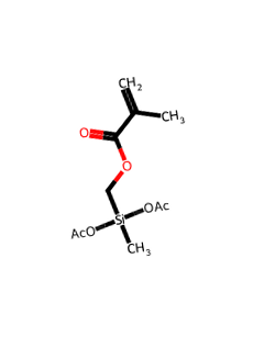 C=C(C)C(=O)OC[Si](C)(OC(C)=O)OC(C)=O